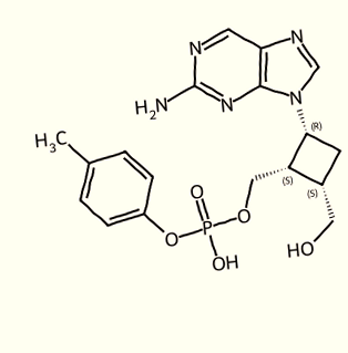 Cc1ccc(OP(=O)(O)OC[C@H]2[C@@H](CO)C[C@H]2n2cnc3cnc(N)nc32)cc1